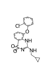 O=S1(=O)N=C(NCC2CC2)Nc2c(Oc3ccccc3Cl)cccc21